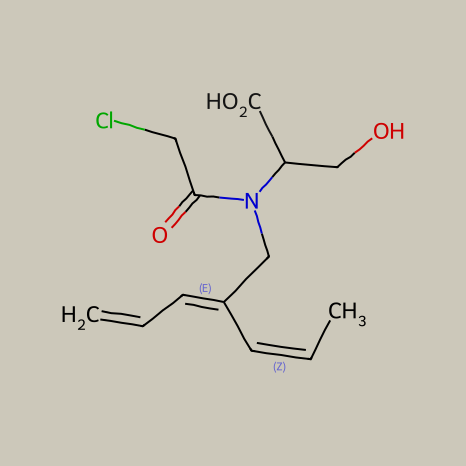 C=C/C=C(\C=C/C)CN(C(=O)CCl)C(CO)C(=O)O